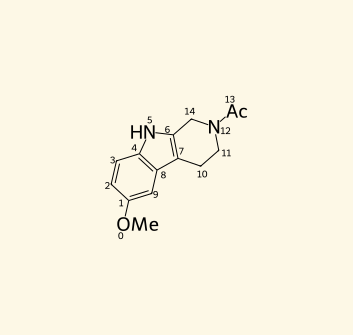 COc1ccc2[nH]c3c(c2c1)CCN(C(C)=O)C3